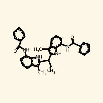 CCC(c1[nH]c2c(NC(=O)c3ccccc3)cccc2c1C)c1[nH]c2c(NC(=O)c3ccccc3)cccc2c1C